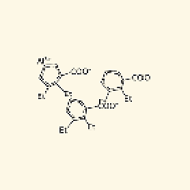 CCc1cccc(C(=O)[O-])c1CC.CCc1cccc(C(=O)[O-])c1CC.CCc1cccc(C(=O)[O-])c1CC.[Al+3]